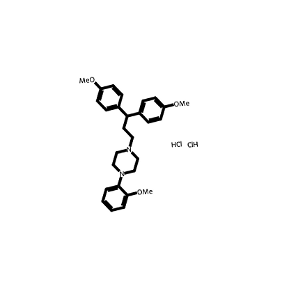 COc1ccc(C(CCN2CCN(c3ccccc3OC)CC2)c2ccc(OC)cc2)cc1.Cl.Cl